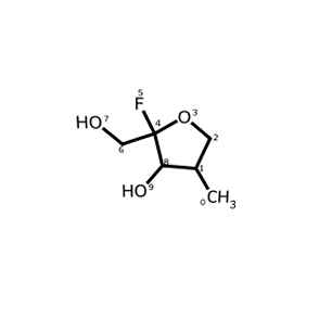 CC1COC(F)(CO)C1O